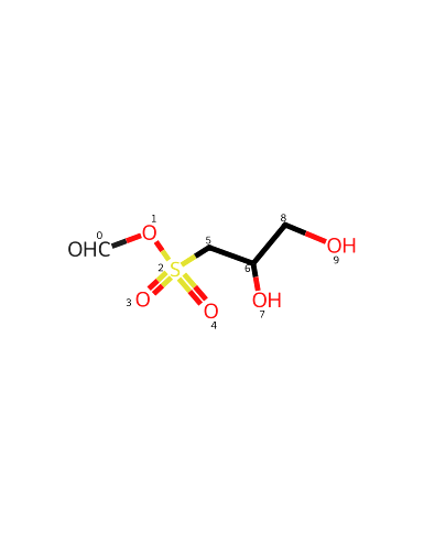 O=COS(=O)(=O)CC(O)CO